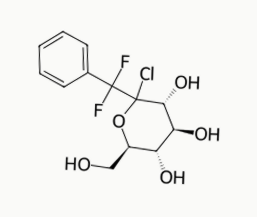 OC[C@H]1OC(Cl)(C(F)(F)c2ccccc2)[C@H](O)[C@@H](O)[C@@H]1O